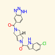 O=C(c1cc2ccc(Cl)cc2[nH]1)N1C=C2CN(C(=O)c3ccc4[nH]nnc4c3)C[C@@H]2C1